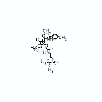 CCC[C@@H](NC(=O)N1C(=O)C(CC)(CC)[C@@H]1OCC(=O)NCCCN(C)C(C)C)c1ccc(C)cc1